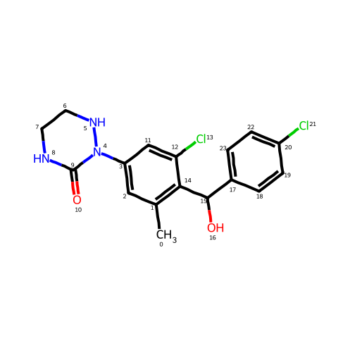 Cc1cc(N2NCCNC2=O)cc(Cl)c1C(O)c1ccc(Cl)cc1